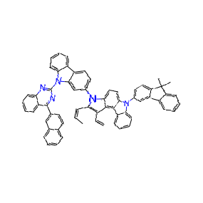 C=Cc1c(/C=C\C)n(-c2ccc3c4ccccc4n(-c4nc(-c5ccc6ccccc6c5)c5ccccc5n4)c3c2)c2ccc3c(c4ccccc4n3-c3ccc4c(c3)-c3ccccc3C4(C)C)c12